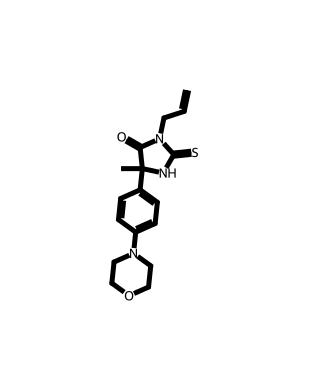 C=CCN1C(=O)C(C)(c2ccc(N3CCOCC3)cc2)NC1=S